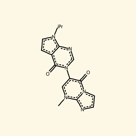 CC(C)n1ccc2c(=O)n(-c3cn(C)c4nccn4c3=O)cnc21